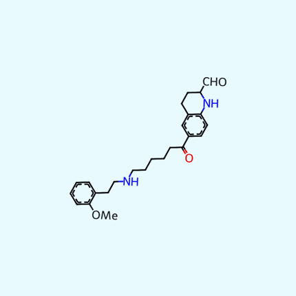 COc1ccccc1CCNCCCCCC(=O)c1ccc2c(c1)CCC(C=O)N2